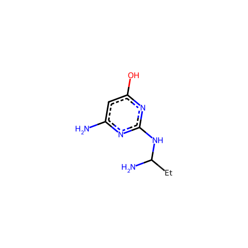 CCC(N)Nc1nc(N)cc(O)n1